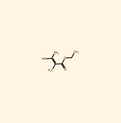 CCOC(=O)C(C)=C(O)P